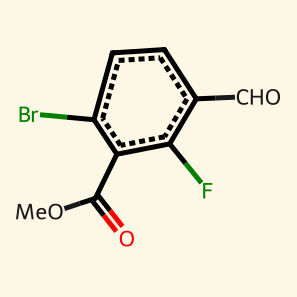 COC(=O)c1c(Br)ccc(C=O)c1F